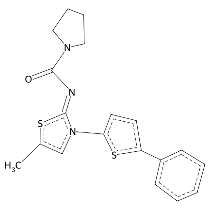 Cc1cn(-c2ccc(-c3ccccc3)s2)c(=NC(=O)N2CCCC2)s1